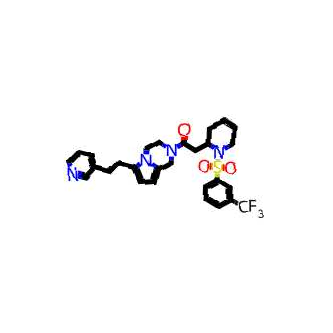 O=C(CC1CCCCN1S(=O)(=O)c1cccc(C(F)(F)F)c1)N1CCn2c(CCc3cccnc3)ccc2C1